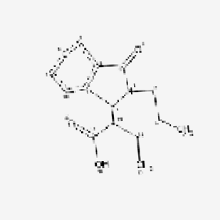 CCCN1C(=O)c2ccccc2C1C(CC)C(=O)O